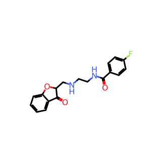 O=C(NCCNCC1Oc2ccccc2C1=O)c1ccc(F)cc1